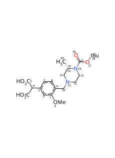 COc1cc(C(C(=O)O)C(=O)O)ccc1CN1CCN(C(=O)OC(C)(C)C)[C@@H](C)C1